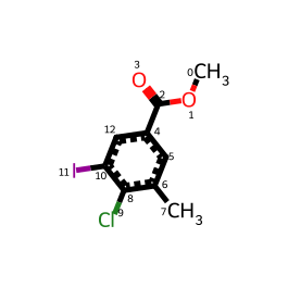 COC(=O)c1cc(C)c(Cl)c(I)c1